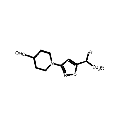 CCOC(=O)C(c1cc(N2CCC(C=O)CC2)no1)C(C)C